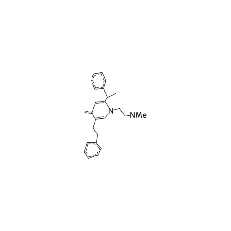 C=C1C=C(C(C)c2ccccc2)N(CCNC)C=C1CCc1ccccc1